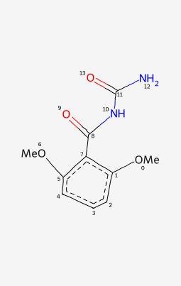 COc1cccc(OC)c1C(=O)NC(N)=O